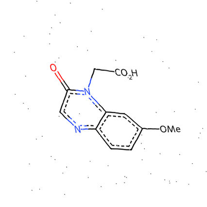 COc1ccc2ncc(=O)n(CC(=O)O)c2c1